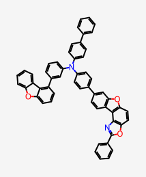 c1ccc(-c2ccc(N(c3ccc(-c4ccc5c(c4)oc4ccc6oc(-c7ccccc7)nc6c45)cc3)c3cccc(-c4cccc5oc6ccccc6c45)c3)cc2)cc1